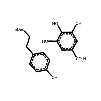 CCCCCCCCCCCCc1ccc(O)cc1.O=C(O)c1cc(O)c(O)c(O)c1